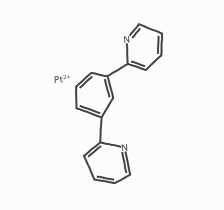 [Pt+2].c1ccc(-c2cccc(-c3ccccn3)c2)nc1